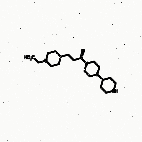 O=C(O)CN1CCC(CCC(=O)N2CCN(C3CCNCC3)CC2)CC1